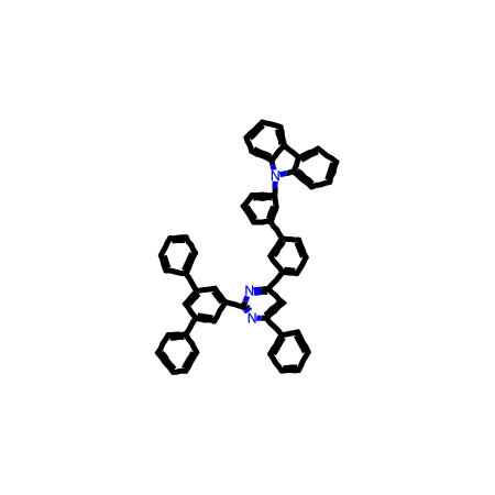 c1ccc(-c2cc(-c3ccccc3)cc(-c3nc(-c4ccccc4)cc(-c4cccc(-c5cccc(-n6c7ccccc7c7ccccc76)c5)c4)n3)c2)cc1